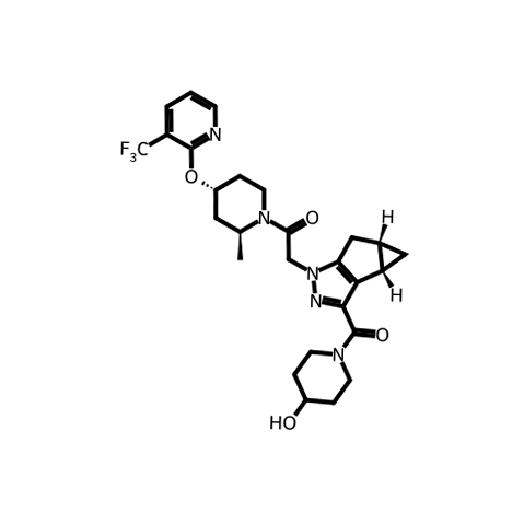 C[C@H]1C[C@H](Oc2ncccc2C(F)(F)F)CCN1C(=O)Cn1nc(C(=O)N2CCC(O)CC2)c2c1C[C@@H]1C[C@H]21